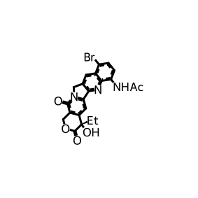 CC[C@@]1(O)C(=O)OCc2c1cc1n(c2=O)Cc2cc3c(Br)ccc(NC(C)=O)c3nc2-1